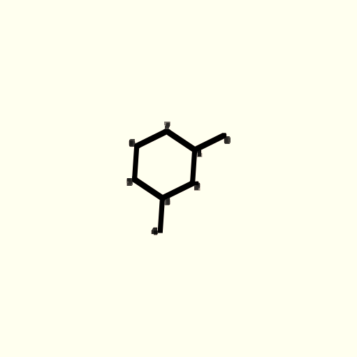 CC1[CH]C(C)CCC1